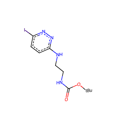 CC(C)(C)OC(=O)NCCNc1ccc(I)nn1